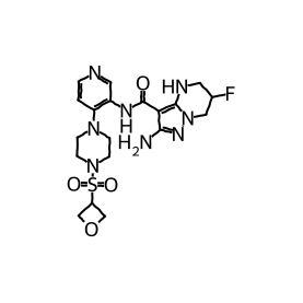 Nc1nn2c(c1C(=O)Nc1cnccc1N1CCN(S(=O)(=O)C3COC3)CC1)NCC(F)C2